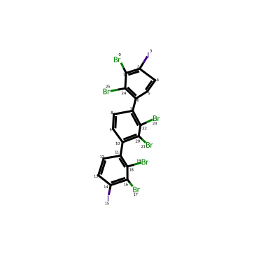 Brc1c(I)ccc(-c2ccc(-c3ccc(I)c(Br)c3Br)c(Br)c2Br)c1Br